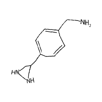 NCc1ccc(C2NN2)cc1